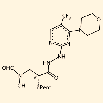 CCCCC[C@H](CN(O)C=O)C(=O)NNc1ncc(C(F)(F)F)c(N2CCOCC2)n1